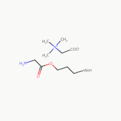 CCCCCCCCCCCCOC(=O)CN.C[N+](C)(C)CC(=O)[O-]